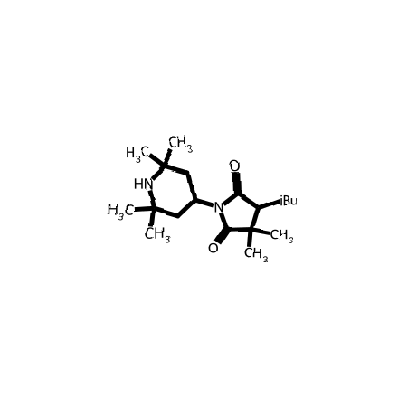 CCC(C)C1C(=O)N(C2CC(C)(C)NC(C)(C)C2)C(=O)C1(C)C